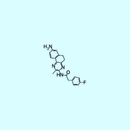 Cc1nc2c(nc1NC(=O)Cc1ccc(F)cc1)CCc1cc(N)ccc1-2